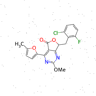 COc1nc(-c2ccc(C)o2)c2c(n1)C(Cc1c(F)cccc1Cl)OC2=O